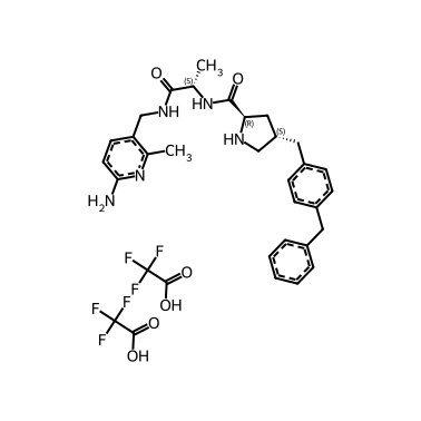 Cc1nc(N)ccc1CNC(=O)[C@H](C)NC(=O)[C@H]1C[C@H](Cc2ccc(Cc3ccccc3)cc2)CN1.O=C(O)C(F)(F)F.O=C(O)C(F)(F)F